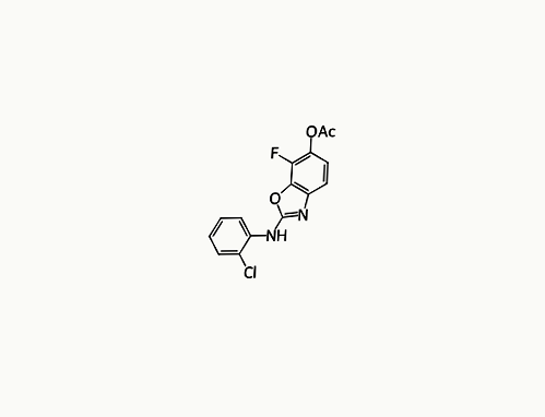 CC(=O)Oc1ccc2nc(Nc3ccccc3Cl)oc2c1F